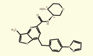 Cc1csc2c(Cc3ccc(-n4cccn4)cc3)cc(C(=O)N[C@@H]3COCC[C@H]3O)nc12